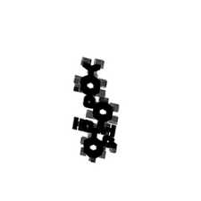 COc1ccccc1C(O)Nc1cccc(Oc2ccc(C(C)C)cc2)c1